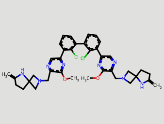 C=C1CCC2(CN(Cc3ncc(-c4cccc(-c5cccc(-c6cnc(CN7CC8(CCC(=C)N8)C7)c(OC)n6)c5Cl)c4Cl)nc3OC)C2)N1